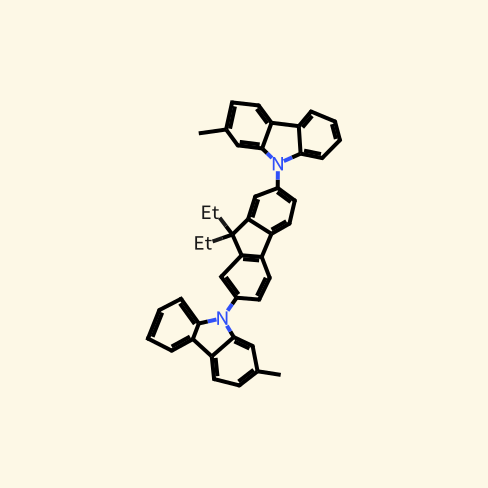 CCC1(CC)c2cc(-n3c4ccccc4c4ccc(C)cc43)ccc2-c2ccc(-n3c4ccccc4c4ccc(C)cc43)cc21